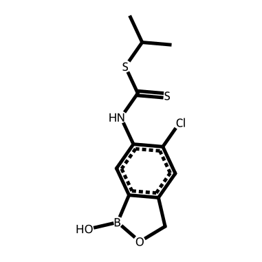 CC(C)SC(=S)Nc1cc2c(cc1Cl)COB2O